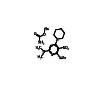 CC(C)(C)OC(N)=O.CNc1nc(N(C)C)cc(N2CCCCC2)c1[N+](=O)[O-]